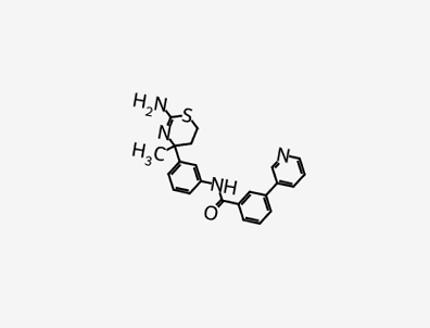 CC1(c2cccc(NC(=O)c3cccc(-c4cccnc4)c3)c2)CCSC(N)=N1